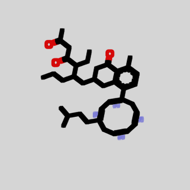 CCCC(CC1CC(=O)c2c(C)ccc(/C3=C/C=C(/CCC(C)C)C/C=C\C=C/C3)c2C1)C(CC)C(=O)CC(C)=O